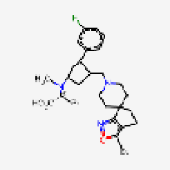 CCc1onc2c1CCC21CCN(CC2CC(N(C)[C@@H](C(=O)O)C(C)C)CC2c2cccc(F)c2)CC1